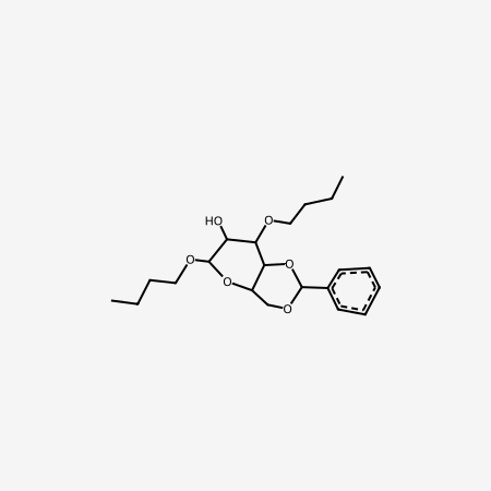 CCCCOC1OC2COC(c3ccccc3)OC2C(OCCCC)C1O